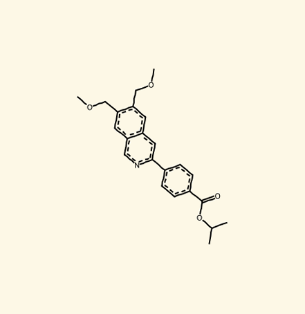 COCc1cc2cnc(-c3ccc(C(=O)OC(C)C)cc3)cc2cc1COC